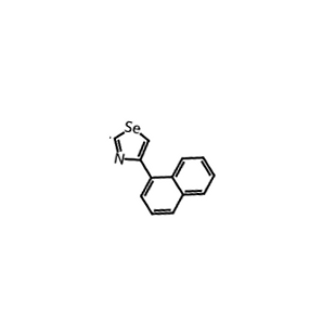 [c]1nc(-c2cccc3ccccc23)c[se]1